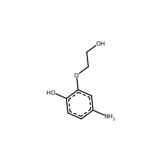 Nc1ccc(O)c(OCCO)c1